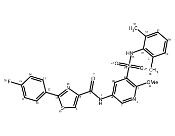 COc1ncc(NC(=O)c2csc(-c3ccc(F)cc3)n2)cc1S(=O)(=O)Nc1c(C)cccc1C